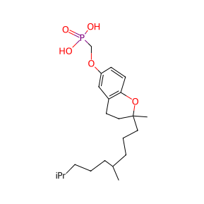 CC(C)CCCC(C)CCCC1(C)CCc2cc(OCP(=O)(O)O)ccc2O1